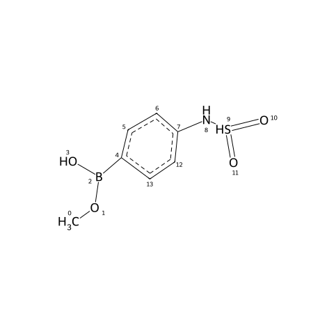 COB(O)c1ccc(N[SH](=O)=O)cc1